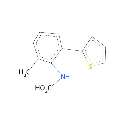 Cc1cccc(-c2cccs2)c1NC(=O)O